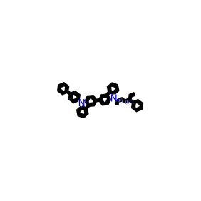 C=C/C(=C\C=C(/C)n1c2ccccc2c2cc(-c3ccc4c(c3)c3ccccc3n4-c3ccc(-c4ccccc4)cc3)ccc21)c1ccccc1